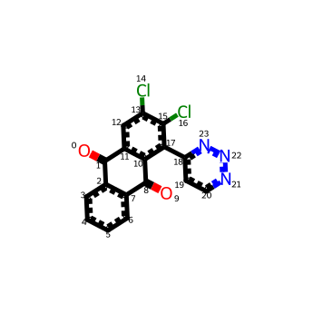 O=C1c2ccccc2C(=O)c2c1cc(Cl)c(Cl)c2-c1ccnnn1